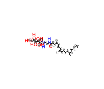 CC(C)CCCC(C)CCCCC(C)CCCC(C)CCC(=O)NCCNC(=O)[C@H](O)[C@@H](O)[C@H](O)[C@H](O)CO